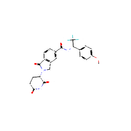 COc1ccc([C@@H](NC(=O)c2ccc3c(c2)CN(C2CCC(=O)NC2=O)C3=O)C(F)(F)F)cc1